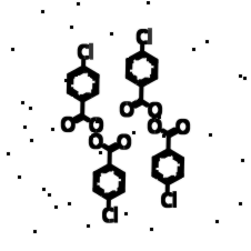 O=C(OOC(=O)c1ccc(Cl)cc1)c1ccc(Cl)cc1.O=C(OOC(=O)c1ccc(Cl)cc1)c1ccc(Cl)cc1